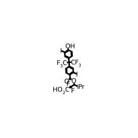 CC(C)C(OC(=O)c1ccc(C(c2ccc(O)c(I)c2)(C(F)(F)F)C(F)(F)F)cc1I)C(F)(F)C(=O)O